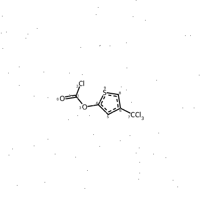 O=C(Cl)Oc1cc(C(Cl)(Cl)Cl)cs1